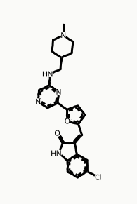 CN1CCC(CNc2cncc(-c3ccc(C=C4C(=O)Nc5ccc(Cl)cc54)o3)n2)CC1